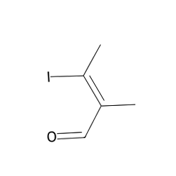 C/C(I)=C(\C)C=O